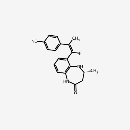 C/C(=C(\F)c1cccc2c1N[C@H](C)CC(=O)N2)c1ccc(C#N)cc1